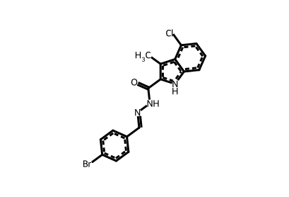 Cc1c(C(=O)NN=Cc2ccc(Br)cc2)[nH]c2cccc(Cl)c12